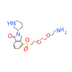 NCCOCCOCCS(=O)(=O)c1cccc2c1CN(C1CCCNC1)C2=O